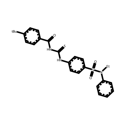 CCN(c1ccccc1)S(=O)(=O)c1ccc(NC(=S)NC(=O)c2ccc(C(C)(C)C)cc2)cc1